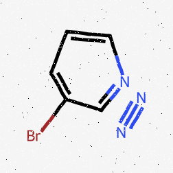 Brc1cccnc1.N#N